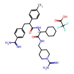 N=C(N)c1ccc(CC(C(=O)N[C@H](C(=O)NCC2CCN(C(=N)N)CC2)C2CCCCC2)c2ccc(C(F)(F)F)cc2)cc1.O=C(O)C(F)(F)F